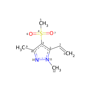 C=Cc1c(S(C)(=O)=O)c(C)nn1C